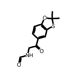 CC1(C)Oc2ccc(C(=O)CNC=O)cc2S1